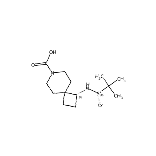 CC(C)(C)[S@+]([O-])N[C@@H]1CCC12CCN(C(=O)O)CC2